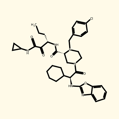 CCC[C@H](NC(=O)[C@H]1CN(C(=O)[C@@H](Nc2nc3ccccc3o2)C2CCCCC2)CCN1Cc1ccc(Cl)cc1)C(=O)C(=O)NC1CC1